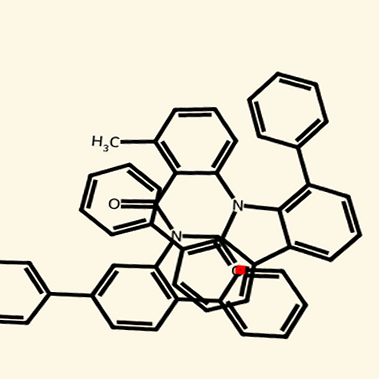 Cc1cccc(-n2c3c(-c4ccccc4)cccc3c3cccc(-c4ccccc4)c32)c1C(=O)N(C=O)c1cc(-c2ccccc2)ccc1-c1ccccc1